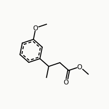 COC(=O)CC(C)c1cccc(OC)c1